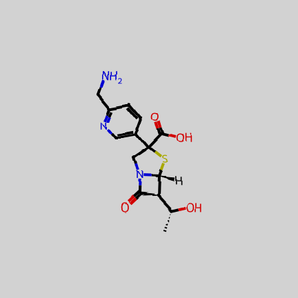 C[C@@H](O)[C@H]1C(=O)N2CC(C(=O)O)(c3ccc(CN)nc3)S[C@H]12